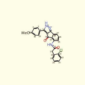 COc1ccc(-c2[nH]nc3c2C(=O)c2c(NC(=O)Cc4ccccc4Cl)cccc2-3)cc1